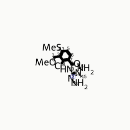 COCc1c(SC)ccc(C(=O)N/C(=N/N)N(C)N)c1Cl